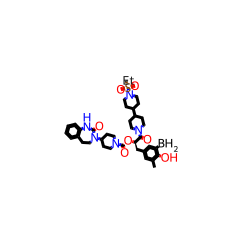 Bc1cc(C[C@@H](OC(=O)N2CCC(N3CCc4ccccc4NC3=O)CC2)C(=O)N2CCC(C3CCN(S(=O)(=O)CC)CC3)CC2)cc(C)c1O